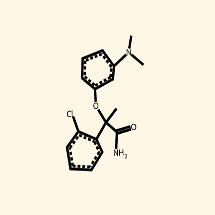 CN(C)c1cccc(OC(C)(C(N)=O)c2ccccc2Cl)c1